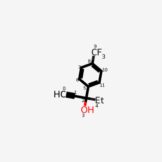 C#CC(O)(CC)c1ccc(C(F)(F)F)cc1